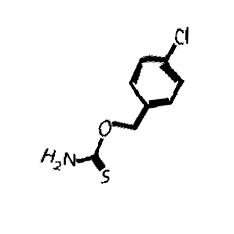 NC(=S)OCc1ccc(Cl)cc1